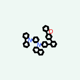 c1cc(N(c2ccc(-c3ccccc3-c3ccc4c(c3)oc3ccccc34)cc2)c2cccc3ccccc23)cc(-n2c3ccccc3c3ccccc32)c1